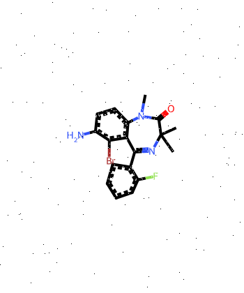 CN1C(=O)C(C)(C)N=C(c2ccccc2F)c2c1ccc(N)c2Br